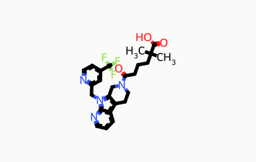 CC(C)(CCCC(=O)N1CCc2c(n(Cc3cc(C(F)(F)F)ccn3)c3ncccc23)C1)C(=O)O